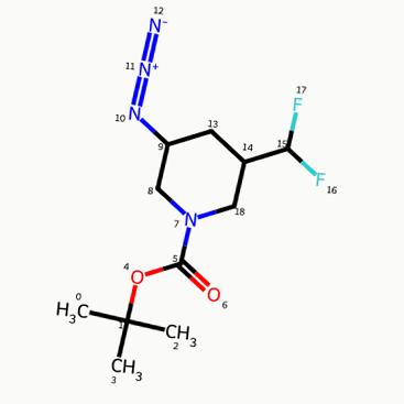 CC(C)(C)OC(=O)N1CC(N=[N+]=[N-])CC(C(F)F)C1